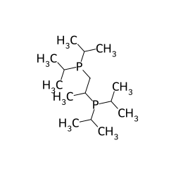 CC(C)P(CC(C)P(C(C)C)C(C)C)C(C)C